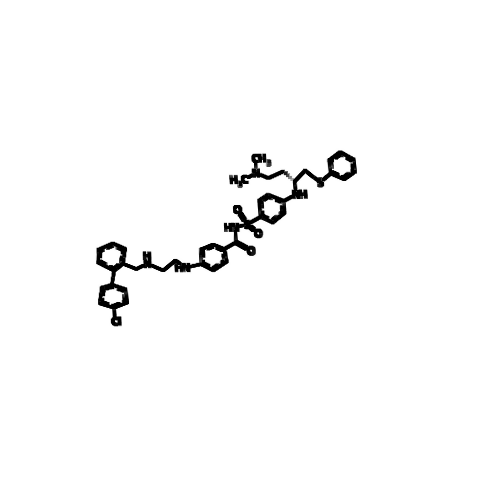 CN(C)CC[C@H](CSc1ccccc1)Nc1ccc(S(=O)(=O)NC(=O)c2ccc(NCCNCc3ccccc3-c3ccc(Cl)cc3)cc2)cc1